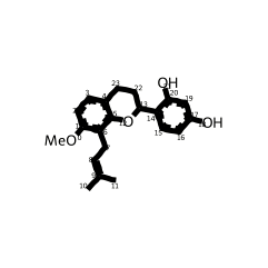 COc1ccc2c(c1CC=C(C)C)OC(c1ccc(O)cc1O)CC2